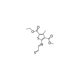 CCOC(=O)c1sc(N=CC=S)c(C(=O)OC)c1C